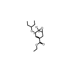 CCOC(=O)C1=C[C@@H](OC(CC)CC)[C@@H]2OC2C1